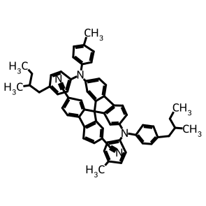 CCC(C)Cc1ccc(N(c2ccc(C)cc2)c2ccc3c(c2)C2(c4cc(C#N)ccc4-c4ccc(C#N)cc42)c2cc(N(c4ccc(C)cc4)c4ccc(CC(C)CC)cc4)ccc2-3)cc1